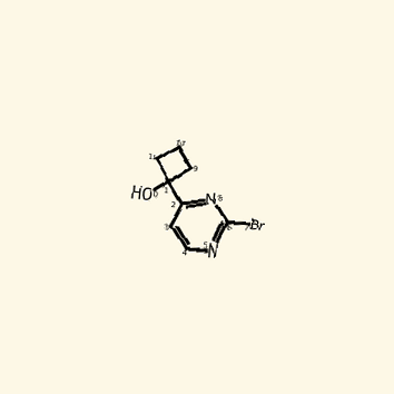 OC1(c2ccnc(Br)n2)CCC1